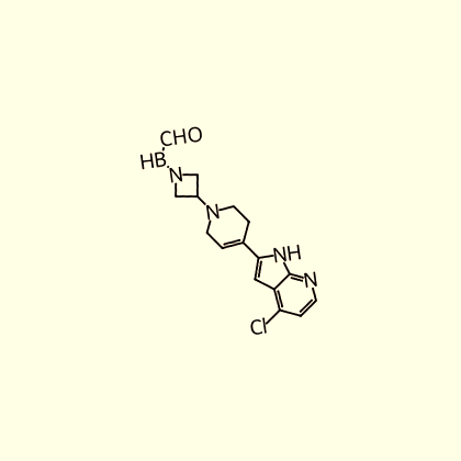 O=CBN1CC(N2CC=C(c3cc4c(Cl)ccnc4[nH]3)CC2)C1